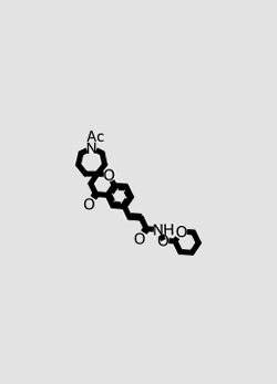 CC(=O)N1CCCC2(CC1)CC(=O)c1cc(/C=C/C(=O)NOC3CCCCO3)ccc1O2